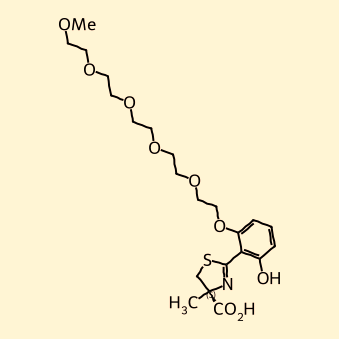 COCCOCCOCCOCCOCCOc1cccc(O)c1C1=N[C@@](C)(C(=O)O)CS1